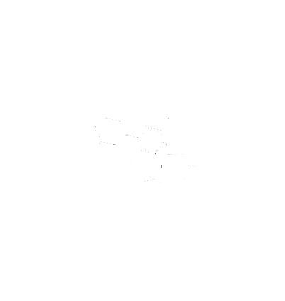 Nc1nc(N2CCNCC2)c2c(n1)C1(CCCCC1)CCCC2